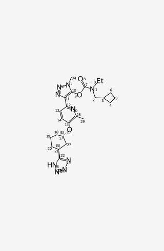 CCN(CC1CCC1)C(=O)Oc1c(-c2ccc(O[C@H]3CCC[C@H](c4nnn[nH]4)C3)c(C)n2)nnn1C